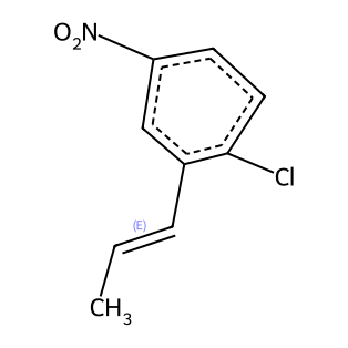 C/C=C/c1cc([N+](=O)[O-])ccc1Cl